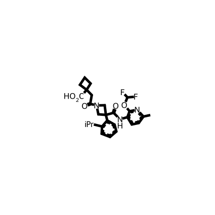 Cc1ccc(NC(=O)C2(c3ccccc3C(C)C)CN(C(=O)CC3(C(=O)O)CCC3)C2)c(OC(F)F)n1